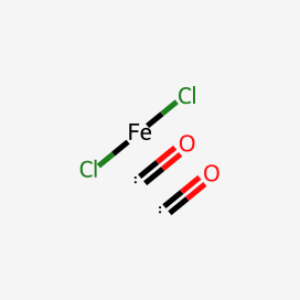 [C]=O.[C]=O.[Cl][Fe][Cl]